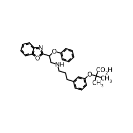 CC(C)(Oc1cccc(CCCNCC(Oc2ccccc2)c2nc3ccccc3o2)c1)C(=O)O